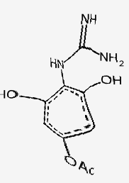 CC(=O)Oc1cc(O)c(NC(=N)N)c(O)c1